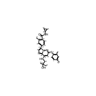 Cc1cc(F)ccc1Sc1cc(NCC(C)(C)O)c2ncc(-c3ccc(C(=O)NC4CC4)c(C)c3)n2n1